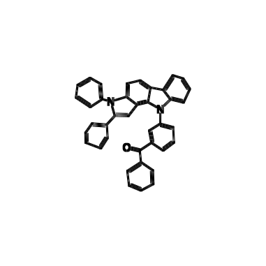 O=C(c1ccccc1)c1cccc(-n2c3ccccc3c3ccc4c(cc(-c5ccccc5)n4-c4ccccc4)c32)c1